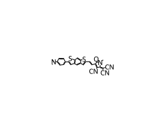 CN1C(=O)C(/C=C/c2cc3cc4cc(-c5ccc(N(C)C)cc5)sc4cc3s2)=C(C#N)C1=C(C#N)C#N